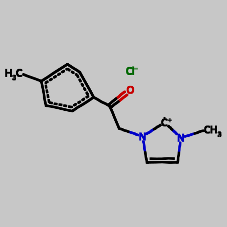 Cc1ccc(C(=O)CN2[C+]N(C)C=C2)cc1.[Cl-]